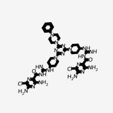 N=C(NC(=O)c1nc(Cl)c(N)nc1N)NC1CCN(c2nc(N3CCC(NC(=N)NC(=O)c4nc(Cl)c(N)nc4N)CC3)nc(N3CCN(c4ccccc4)CC3)n2)CC1